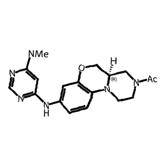 CNc1cc(Nc2ccc3c(c2)OC[C@H]2CN(C(C)=O)CCN32)ncn1